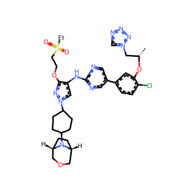 CCS(=O)(=O)CCOc1nn(C2CCC(N3[C@@H]4CC[C@H]3COC4)CC2)cc1Nc1ncc(-c2ccc(Cl)c(O[C@@H](C)Cn3cnnn3)c2)cn1